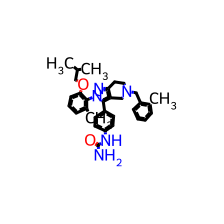 Cc1ccccc1CN1CCc2nn(-c3c(C)cccc3OCC(C)C)c(-c3ccc(NC(N)=O)cc3)c2C1